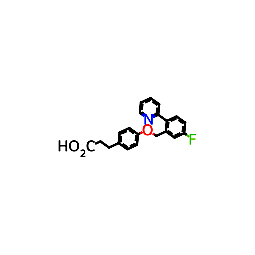 O=C(O)CCc1ccc(OCc2cc(F)ccc2-c2ccccn2)cc1